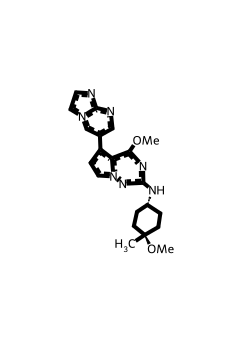 COc1nc(N[C@H]2CC[C@](C)(OC)CC2)nn2ccc(-c3cnc4nccn4c3)c12